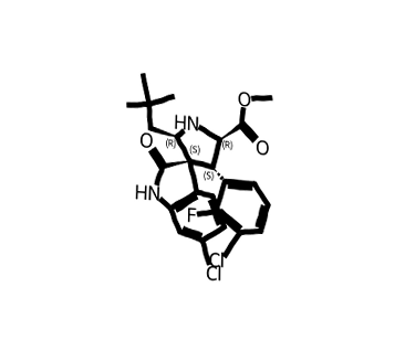 COC(=O)[C@@H]1N[C@H](CC(C)(C)C)[C@]2(C(=O)Nc3cc(Cl)ccc32)[C@H]1c1cccc(Cl)c1F